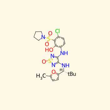 Cc1ccc([C@H](Nc2n[s+]([O-])nc2Nc2ccc(Cl)c(S(=O)(=O)N3CCCC3)c2O)C(C)(C)C)o1